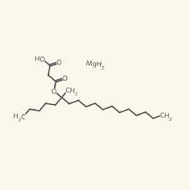 CCCCCCCCCCCCC(C)(CCCCC)OC(=O)CC(=O)O.[MgH2]